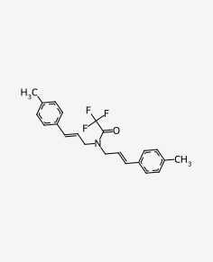 Cc1ccc(/C=C/CN(C/C=C/c2ccc(C)cc2)C(=O)C(F)(F)F)cc1